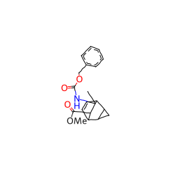 COC(=O)C1C2C=CC(C3CC23)C1(C)NC(=O)OCc1ccccc1